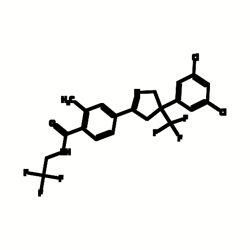 Cc1cc(C2=NCC(c3cc(Cl)cc(Cl)c3)(C(F)(F)F)C2)ccc1C(=O)NCC(F)(F)F